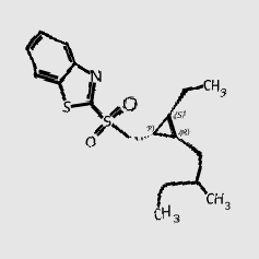 CCC(C)C[C@@H]1[C@H](CC)[C@H]1CS(=O)(=O)c1nc2ccccc2s1